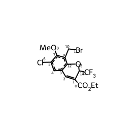 CCOC(=O)C1=Cc2cc(Cl)c(OC)c(CBr)c2OC1C(F)(F)F